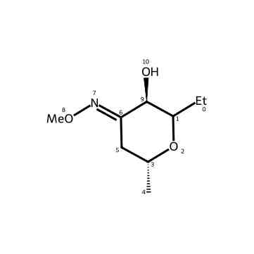 CCC1O[C@H](C)C/C(=N\OC)[C@H]1O